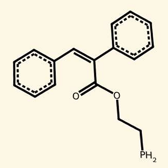 O=C(OCCP)C(=Cc1ccccc1)c1ccccc1